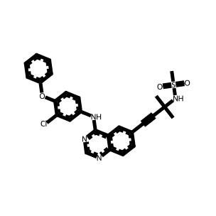 CC(C)(C#Cc1ccc2ncnc(Nc3ccc(Oc4ccccc4)c(Cl)c3)c2c1)NS(C)(=O)=O